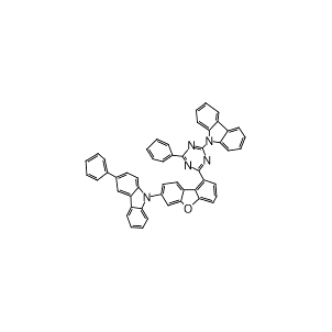 c1ccc(-c2ccc3c(c2)c2ccccc2n3-c2ccc3c(c2)oc2cccc(-c4nc(-c5ccccc5)nc(-n5c6ccccc6c6ccccc65)n4)c23)cc1